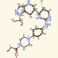 CCC(=O)N1CCN(c2ccc(Nc3ncc(F)c(-c4cnc5cnn(C(C)C)c5c4)n3)cc2)CC1